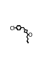 C=CCCC(=O)C1C[C](Cc2ccc(Cl)cc2)C1